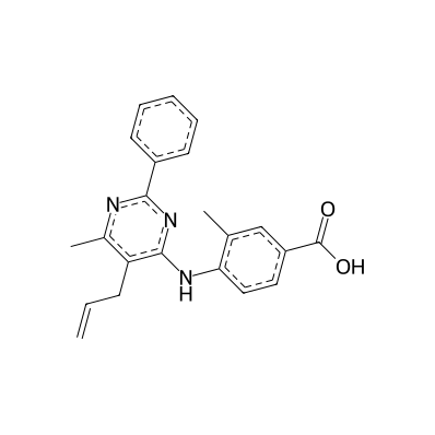 C=CCc1c(C)nc(-c2ccccc2)nc1Nc1ccc(C(=O)O)cc1C